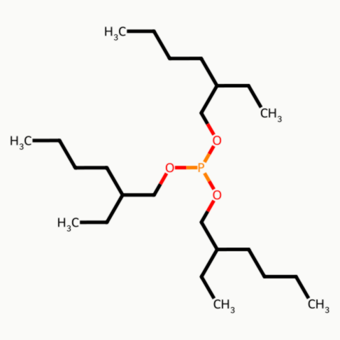 CCCCC(CC)COP(OCC(CC)CCCC)OCC(CC)CCCC